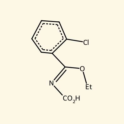 CCOC(=NC(=O)O)c1ccccc1Cl